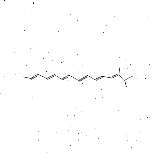 CCCCCCCCC(O)/C(O)=C/C=C/C=C/C=C/C=C/C=C/C(=O)O